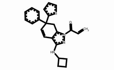 C=CC(=O)n1nc(NC2CCC2)c2c1CC(c1ccccc1)(c1cccs1)C=C2